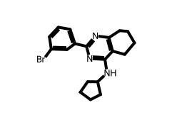 Brc1cccc(-c2nc3c(c(NC4CCCC4)n2)CCCC3)c1